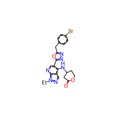 CCn1ncc2c(NC3CCOC(=O)C3)c(-c3nnc(Cc4ccc(Br)cc4)o3)cnc21